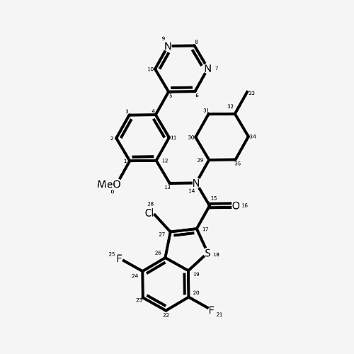 COc1ccc(-c2cncnc2)cc1CN(C(=O)c1sc2c(F)ccc(F)c2c1Cl)C1CCC(C)CC1